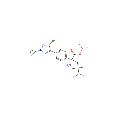 CC(C)OC(=O)[C@@](N)(CC(C)(C)C(F)F)c1ccc(-c2nn(C3CC3)nc2Br)cc1